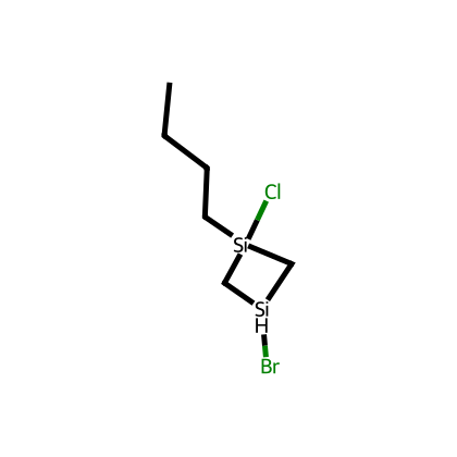 CCCC[Si]1(Cl)C[SiH](Br)C1